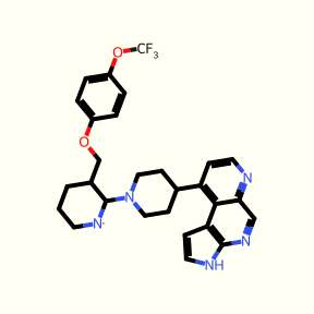 FC(F)(F)Oc1ccc(OCC2CCC[N]C2N2CCC(c3ccnc4cnc5[nH]ccc5c34)CC2)cc1